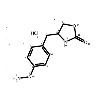 Cl.NNc1ccc(CC2COC(=O)N2)cc1